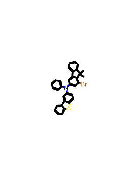 CC1(C)c2ccccc2-c2cc(N(c3ccccc3)c3ccc4sc5ccccc5c4c3)cc(Br)c21